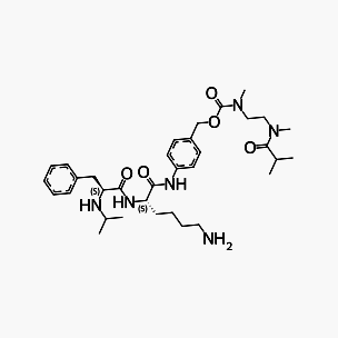 CC(C)N[C@@H](Cc1ccccc1)C(=O)N[C@@H](CCCCN)C(=O)Nc1ccc(COC(=O)N(C)CCN(C)C(=O)C(C)C)cc1